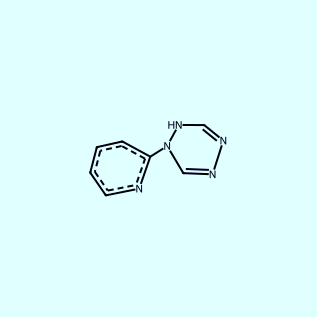 C1=NN=CN(c2ccccn2)N1